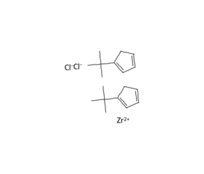 CC(C)(C)C1=CC=CC1.CC(C)(C)C1=CC=CC1.[Cl-].[Cl-].[Zr+2]